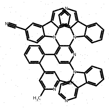 Cc1cc(-c2ccccc2-c2cc(-n3c4ccccc4c4cnccc43)nc(-n3c4ccccc4c4cnccc43)c2-n2c3ccccc3c3cc(C#N)ccc32)cc(C)n1